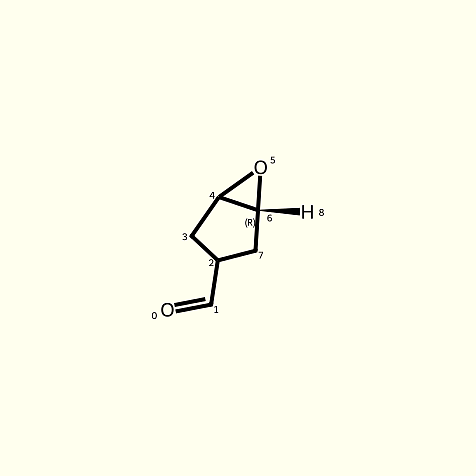 O=CC1CC2O[C@@H]2C1